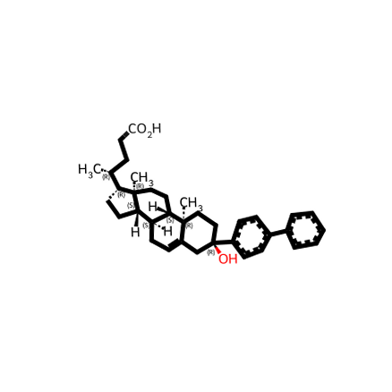 C[C@H](CCC(=O)O)[C@H]1CC[C@H]2[C@@H]3CC=C4C[C@@](O)(c5ccc(-c6ccccc6)cc5)CC[C@]4(C)[C@H]3CC[C@]12C